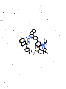 CC1(C)c2ccccc2N(C2=CC=CCC2)c2cc(-c3ccc4c5c6ccccc6ccc5n(-c5nc(-c6ccccc6)c6ccc7ccccc7c6n5)c4c3)ccc21